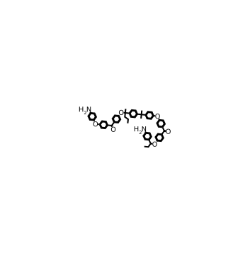 CCCC(C)(Oc1ccc(C(=O)c2ccc(Oc3ccc(N)cc3)cc2)cc1)c1ccc(C(C)(C)c2ccc(Oc3ccc(C(=O)c4ccc(OC(CC)c5ccc(N)cc5)cc4)cc3)cc2)cc1